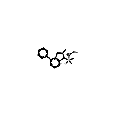 CC1=Cc2c(-c3ccccc3)cccc2[CH]1[Ti]([CH3])([CH3])([SiH3])[NH]C(C)(C)C